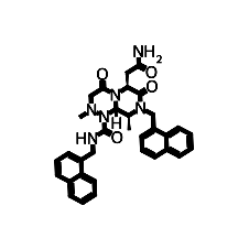 C[C@H]1[C@H]2N(C(=O)CN(C)N2C(=O)NCc2cccc3ccccc23)[C@@H](CC(N)=O)C(=O)N1Cc1cccc2ccccc12